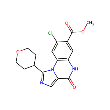 COC(=O)c1cc2[nH]c(=O)c3cnc(C4CCOCC4)n3c2cc1Cl